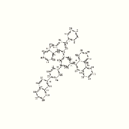 c1ccc(-c2cc(-c3nc(-c4ccc(-c5ccc6ccccc6c5)cc4)nc(-c4cc5ccccc5c5ccccc45)n3)c3c(c2)oc2ccccc23)cc1